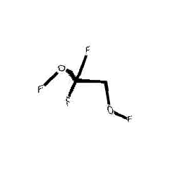 FOCC(F)(F)OF